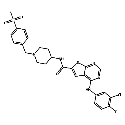 CS(=O)(=O)c1ccc(CN2CCC(NC(=O)c3cc4c(Nc5ccc(F)c(Cl)c5)ncnc4s3)CC2)cc1